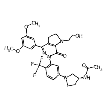 COc1cc(OC)cc(-c2nn(-c3cc(N4CC[C@H](NC(C)=O)C4)ccc3C(F)(F)F)c(=O)c3c2CCN3CCO)c1